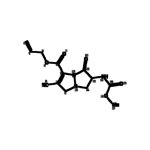 C=CCOC(=O)C1=C(C#N)CN2CC(NC(=O)OC(C)(C)C)C(=O)N12